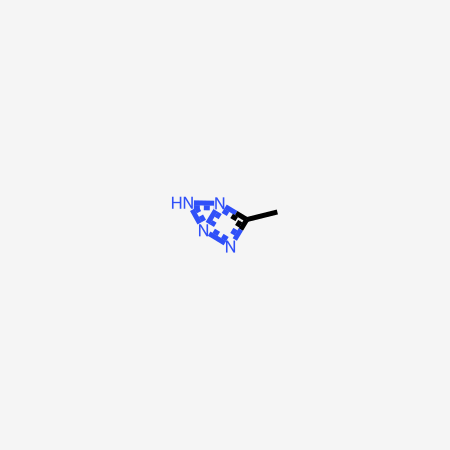 Cc1nn2[nH]n12